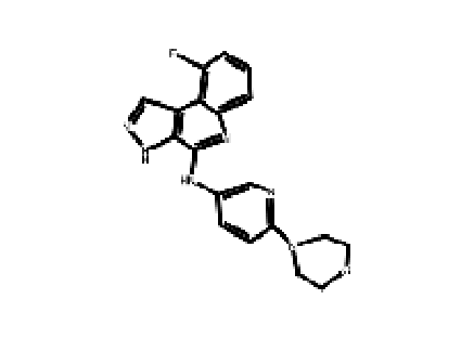 Fc1cccc2nc(Nc3ccc(N4CCOCC4)nc3)c3[nH]ncc3c12